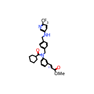 COC(=O)/C=C/c1cccc(N(Cc2ccc(CNc3ccc(C(F)(F)F)nc3)cc2)C(=O)C2CCCCC2)c1